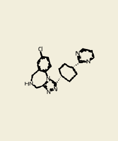 Clc1ccc2c(c1)CNCc1nnc([C@H]3CC[C@@H](c4ncccn4)CC3)n1-2